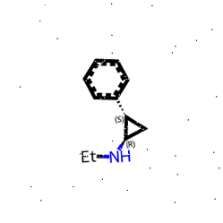 CCN[C@@H]1C[C@H]1c1ccccc1